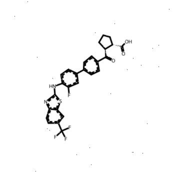 O=C(O)[C@H]1CCC[C@@H]1C(=O)c1ccc(-c2ccc(Nc3nc4ccc(C(F)(F)F)cc4s3)c(F)c2)cc1